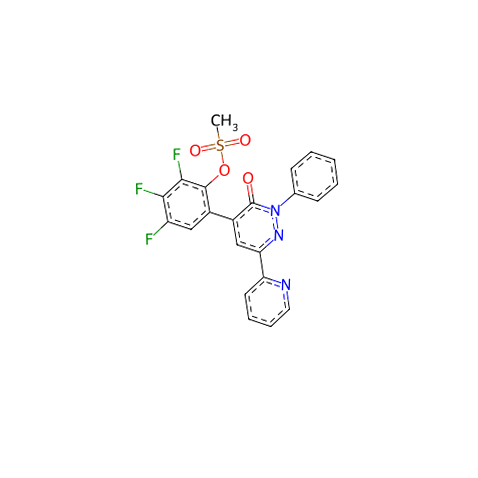 CS(=O)(=O)Oc1c(-c2cc(-c3ccccn3)nn(-c3ccccc3)c2=O)cc(F)c(F)c1F